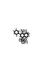 Nc1c(-c2ccccc2)cc(S(=O)(=O)O)c2ccccc12